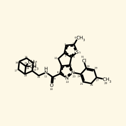 Cc1cc2c(s1)-c1c(c(C(=O)NCC3CCC4CC3C4(C)C)nn1C1=CCC(C)C=C1Cl)C2